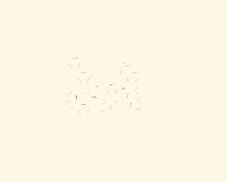 c1ccc(-c2ccc(-c3nc(-c4cccc5oc6ccccc6c45)nc(-c4ccc(-n5c6cc7ccccc7cc6c6ccc7ccccc7c65)c5oc6ccccc6c45)n3)cc2)cc1